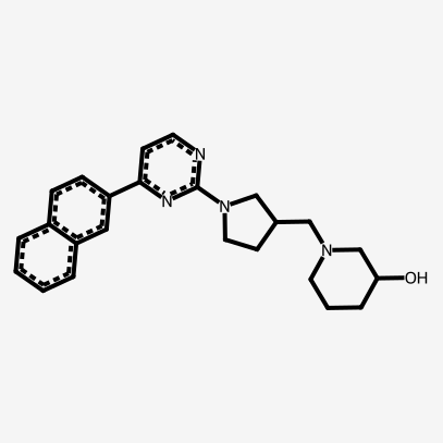 OC1CCCN(CC2CCN(c3nccc(-c4ccc5ccccc5c4)n3)C2)C1